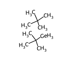 CC(C)(C)C.C[C](C)(C)[GeH3]